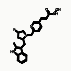 Cc1[nH]c2ccccc2c1CC1CC(F)CN1Cc1ccc(C=CC(=O)NO)cn1